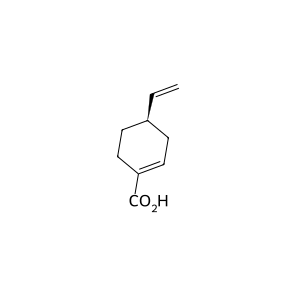 C=C[C@H]1CC=C(C(=O)O)CC1